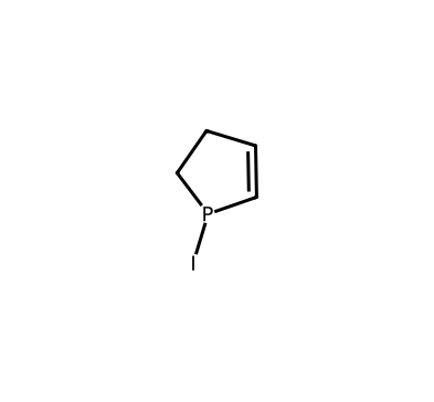 IP1C=CCC1